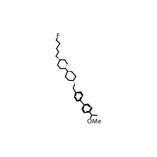 COC(C)c1ccc(-c2ccc(CC[C@H]3CC[C@H]([C@H]4CC[C@H](CCCCCF)CC4)CC3)cc2)cc1